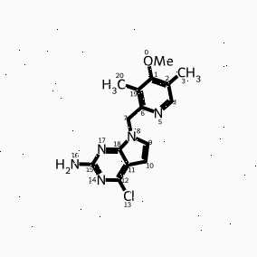 COc1c(C)cnc(Cn2ccc3c(Cl)nc(N)nc32)c1C